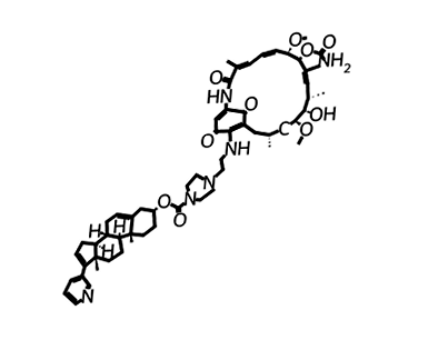 CO[C@H]1/C=C\C=C(/C)C(=O)NC2=CC(=O)C(NCCN3CCN(C(=O)O[C@H]4CC[C@@]5(C)C(=CC[C@@H]6[C@@H]5CC[C@]5(C)C(c7cccnc7)=CC[C@@H]65)C4)CC3)=C(C[C@@H](C)C[C@H](OC)[C@@H](O)[C@@H](C)/C=C(\C)[C@@H]1OC(N)=O)C2=O